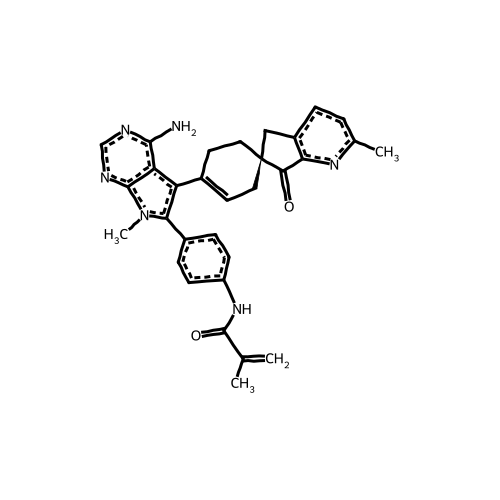 C=C(C)C(=O)Nc1ccc(-c2c(C3=CC[C@@]4(CC3)Cc3ccc(C)nc3C4=O)c3c(N)ncnc3n2C)cc1